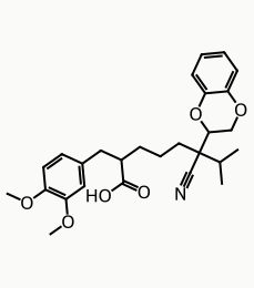 COc1ccc(CC(CCCC(C#N)(C(C)C)C2COc3ccccc3O2)C(=O)O)cc1OC